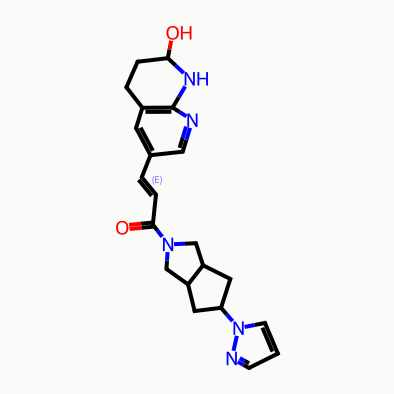 O=C(/C=C/c1cnc2c(c1)CCC(O)N2)N1CC2CC(n3cccn3)CC2C1